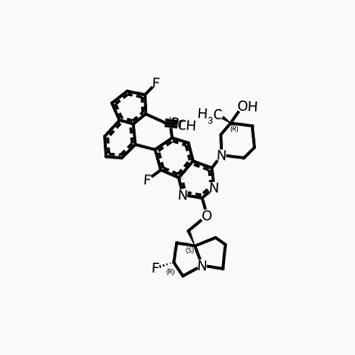 C#Cc1c(F)ccc2cccc(-c3c(C(C)C)cc4c(N5CCC[C@@](C)(O)C5)nc(OC[C@@]56CCCN5C[C@H](F)C6)nc4c3F)c12